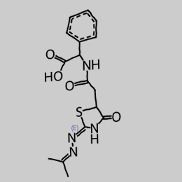 CC(C)=N/N=C1\NC(=O)C(CC(=O)NC(C(=O)O)c2ccccc2)S1